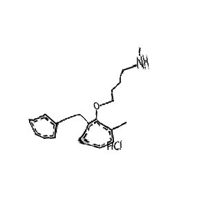 CNCCCCOc1c(C)cccc1Cc1ccccc1.Cl